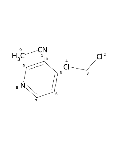 CC#N.ClCCl.c1ccncc1